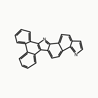 C1=Cc2ccc3c4c(ccc3c2=N1)-c1c(c2ccccc2c2ccccc12)N=4